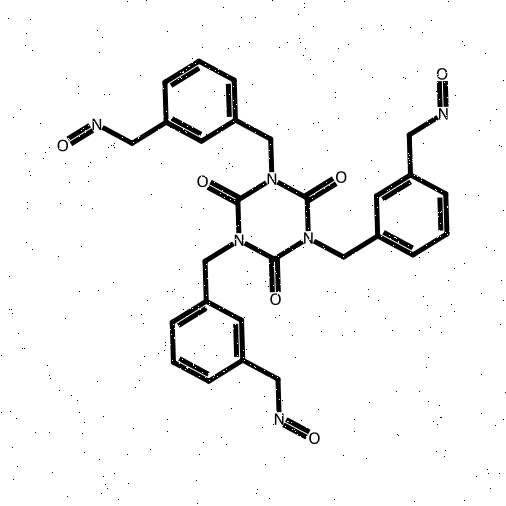 O=NCc1cccc(Cn2c(=O)n(Cc3cccc(CN=O)c3)c(=O)n(Cc3cccc(CN=O)c3)c2=O)c1